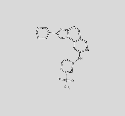 NS(=O)(=O)c1cccc(Nc2ncc3ccc4sc(-c5ccccc5)cc4c3n2)c1